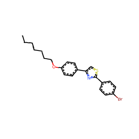 CCCCCCCOc1ccc(-c2csc(-c3ccc(Br)cc3)n2)cc1